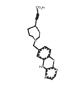 O=C(O)C#CC1CCN(Cc2ccc3c(c2)Nc2nccnc2S3)CC1